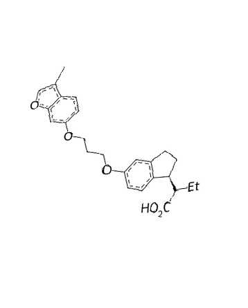 CCC(C(=O)O)[C@@H]1CCc2cc(OCCCOc3ccc4c(C)coc4c3)ccc21